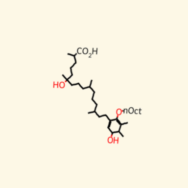 CCCCCCCCOC1=C(C)C(C)C(O)C=C1CCC(C)CCCC(C)CCCC(C)(O)CCCC(C)C(=O)O